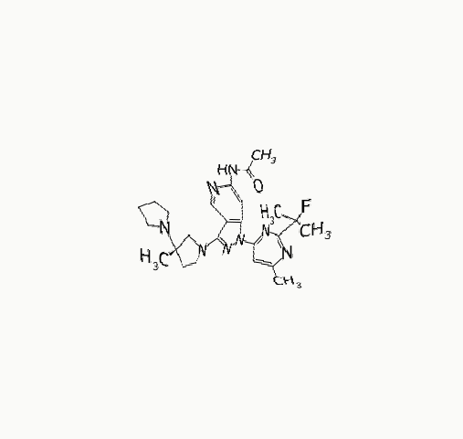 CC(=O)Nc1cc2c(cn1)c(N1CC[C@](C)(N3CCCC3)C1)nn2-c1cc(C)nc(C(C)(C)F)n1